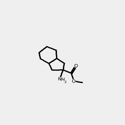 COC(=O)C1(N)CC2CCCCC2C1